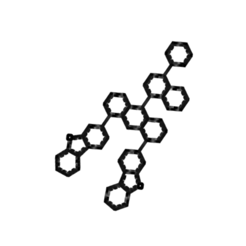 c1ccc(-c2ccc(-c3c4cccc(-c5ccc6c(c5)oc5ccccc56)c4cc4c(-c5ccc6c(c5)oc5ccccc56)cccc34)c3ccccc23)cc1